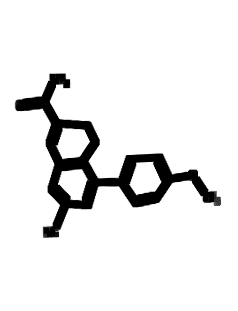 N#Cc1cc2c(c(-c3ccc(OC(F)(F)F)cc3)c1)CCC(C(N)=O)=C2